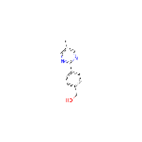 Cc1cnc(-c2ccc(CO)cc2)nc1